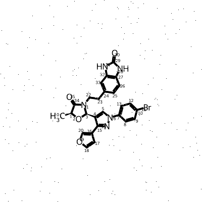 C[C@@H]1O[C@H](c2cn(-c3ccc(Br)cc3)nc2-c2ccoc2)N(CCc2ccc3[nH]c(=O)[nH]c3c2)C1=O